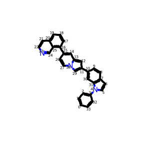 c1ccc(-n2ccc3ccc(-c4cc5cc(-c6cccc7ccncc67)ccn5c4)cc32)cc1